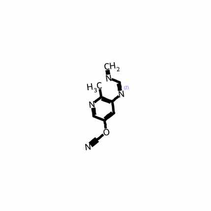 C=N/C=N\c1cc(OC#N)cnc1C